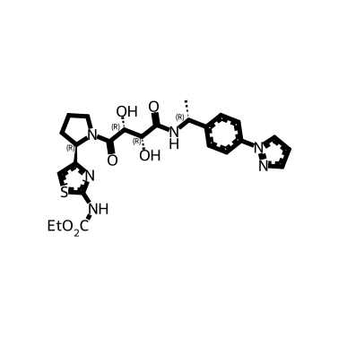 CCOC(=O)Nc1nc([C@H]2CCCN2C(=O)[C@H](O)[C@@H](O)C(=O)N[C@H](C)c2ccc(-n3cccn3)cc2)cs1